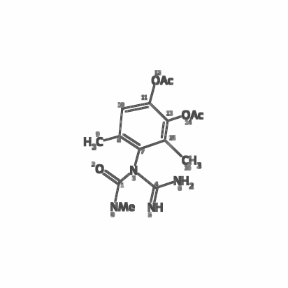 CNC(=O)N(C(=N)N)c1c(C)cc(OC(C)=O)c(OC(C)=O)c1C